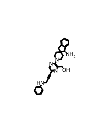 N[C@@H]1c2ccccc2CC12CCN(c1ncc(C#CCNc3ccccc3)nc1CO)CC2